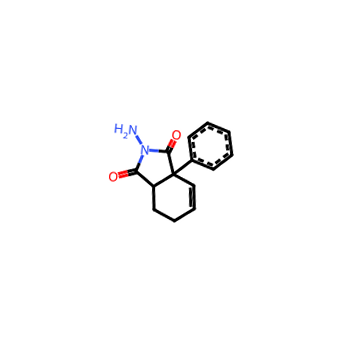 NN1C(=O)C2CCC=CC2(c2ccccc2)C1=O